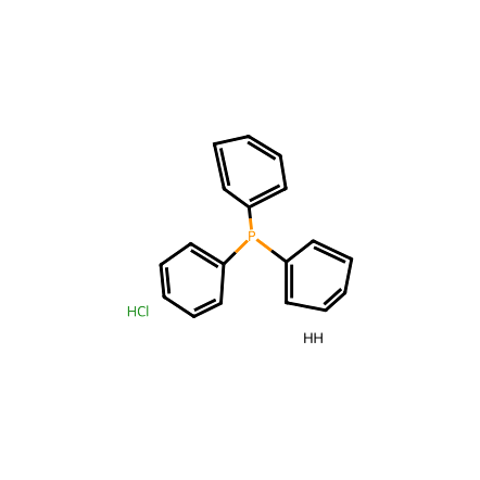 Cl.[HH].c1ccc(P(c2ccccc2)c2ccccc2)cc1